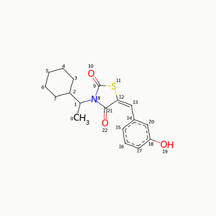 CC(C1CCCCC1)N1C(=O)SC(=Cc2cccc(O)c2)C1=O